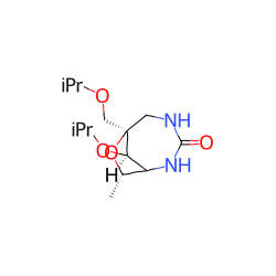 CC(C)OC[C@@]12CNC(=O)NC([C@H](C)O1)[C@H]2OC(C)C